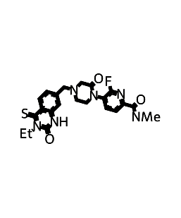 CCn1c(=O)[nH]c2cc(CN3CCN(c4ccc(C(=O)NC)nc4F)C(=O)C3)ccc2c1=S